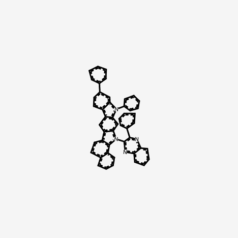 c1ccc(-c2ccc3c4cc5c6ccc7ccccc7c6n(-c6nc7ccccc7nc6-c6ccccc6)c5cc4n(-c4ccccc4)c3c2)cc1